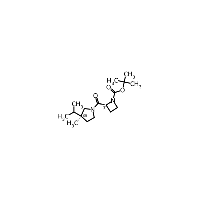 CC(C)[C@]1(C)CCN(C(=O)[C@@H]2CCN2C(=O)OC(C)(C)C)C1